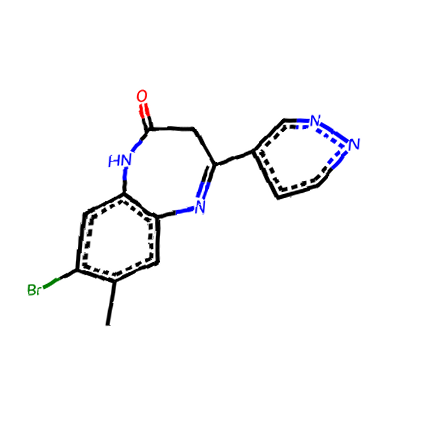 Cc1cc2c(cc1Br)NC(=O)CC(c1ccnnc1)=N2